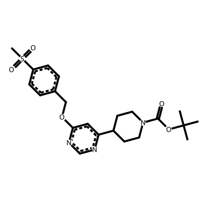 CC(C)(C)OC(=O)N1CCC(c2cc(OCc3ccc(S(C)(=O)=O)cc3)ncn2)CC1